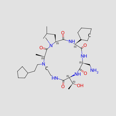 CC(C)C[C@H]1C(=O)N[C@@H](C2CCCCC2)C(=O)N[C@@H](CN)C(=O)N[C@@H]([C@H](C)O)C(=O)NCCN(CCC2CCCC2)[C@@H](C)C(=O)N1C